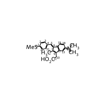 CSc1ccc(C=C2C(C)=C(CC(=O)O)c3cc(N(C)C)ccc32)cc1